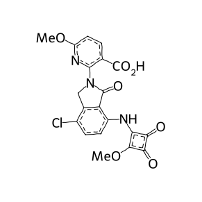 COc1ccc(C(=O)O)c(N2Cc3c(Cl)ccc(Nc4c(OC)c(=O)c4=O)c3C2=O)n1